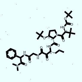 CCC[C@@H](NC(=O)[C@@H]1[C@@H](OC(C)(C)C)CCN1C(=O)[C@@H](NC(=O)OC(C)(C)C)C(C)(C)C)C(=O)C(=O)NCC(=O)NC(C(=O)N(C)C)c1ccccc1